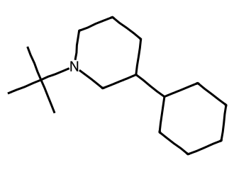 CC(C)(C)N1CCCC(C2CCCCC2)C1